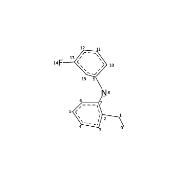 CCc1ccccc1[N]c1cccc(F)c1